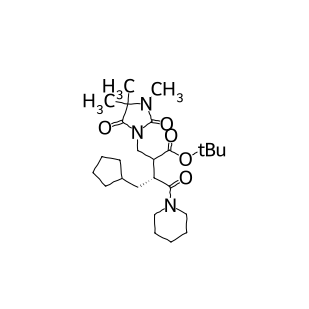 CN1C(=O)N(CC(C(=O)OC(C)(C)C)[C@@H](CC2CCCC2)C(=O)N2CCCCC2)C(=O)C1(C)C